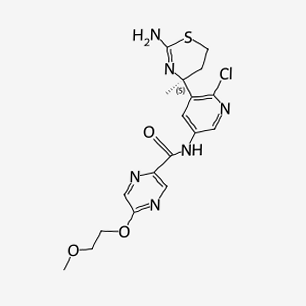 COCCOc1cnc(C(=O)Nc2cnc(Cl)c([C@]3(C)CCSC(N)=N3)c2)cn1